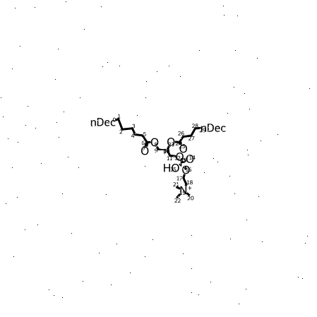 CCCCCCCCCCCCCCCC(=O)OC[C@H](COP(=O)(O)OCC[N+](C)(C)C)OC(=O)CCCCCCCCCCCCC